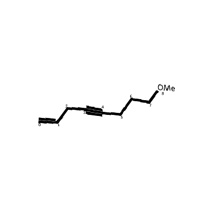 C=CCC#CCCCOC